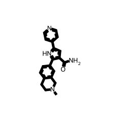 CN1CCc2ccc(-c3[nH]c(-c4ccncc4)cc3C(N)=O)cc2C1